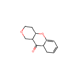 O=C1C2CC=CC=C2OC2CCOCC12